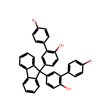 Oc1ccc(C2(c3ccc(O)c(-c4ccc(Br)cc4)c3)c3ccccc3-c3ccccc32)cc1-c1ccc(Br)cc1